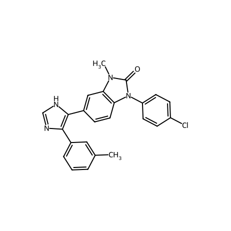 Cc1cccc(-c2nc[nH]c2-c2ccc3c(c2)n(C)c(=O)n3-c2ccc(Cl)cc2)c1